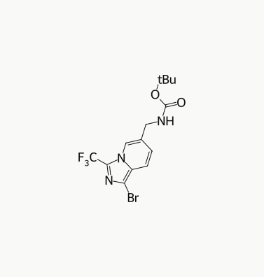 CC(C)(C)OC(=O)NCc1ccc2c(Br)nc(C(F)(F)F)n2c1